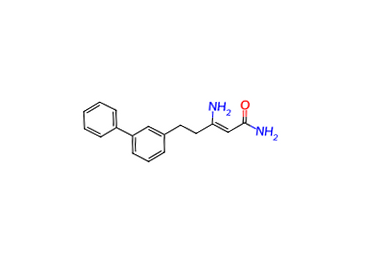 NC(=O)/C=C(\N)CCc1cccc(-c2ccccc2)c1